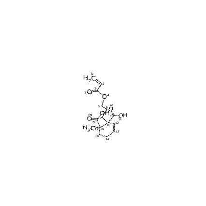 C=CC(=O)OCCCC1(C(=O)O)C=CCCC1(C)C(=O)O